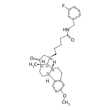 COc1ccc2c(c1)CC[C@H]1[C@@H]3[C@H](CCCCC(=O)NCc4cccc(F)c4)CC(=O)[C@@]3(C)CC[C@H]21